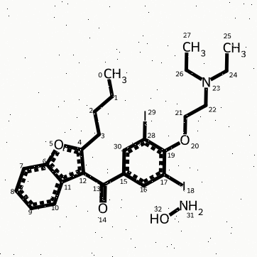 CCCCc1oc2ccccc2c1C(=O)c1cc(I)c(OCCN(CC)CC)c(I)c1.NO